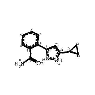 NC(=O)c1ccccc1-c1cc(C2CC2)[nH]n1